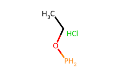 CCOP.Cl